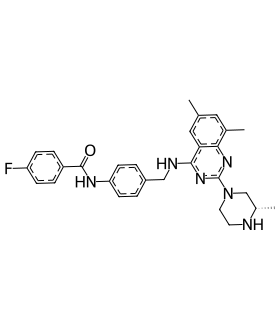 Cc1cc(C)c2nc(N3CCN[C@@H](C)C3)nc(NCc3ccc(NC(=O)c4ccc(F)cc4)cc3)c2c1